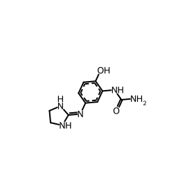 NC(=O)Nc1cc(N=C2NCCN2)ccc1O